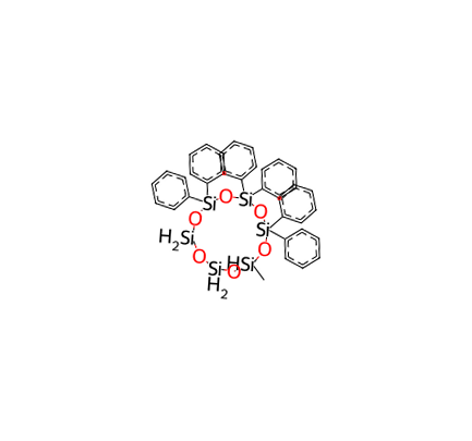 C[SiH]1O[SiH2]O[SiH2]O[Si](c2ccccc2)(c2ccccc2)O[Si](c2ccccc2)(c2ccccc2)O[Si](c2ccccc2)(c2ccccc2)O1